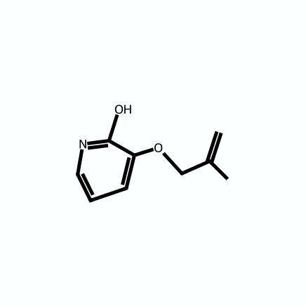 C=C(C)COc1cccnc1O